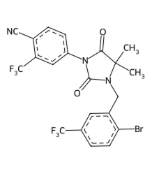 CC1(C)C(=O)N(c2ccc(C#N)c(C(F)(F)F)c2)C(=O)N1Cc1cc(C(F)(F)F)ccc1Br